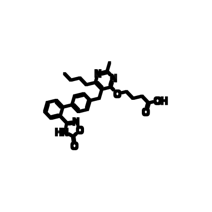 CCCCc1nc(C)nc(OCCCC(=O)O)c1Cc1ccc(-c2ccccc2-c2noc(=O)[nH]2)cc1